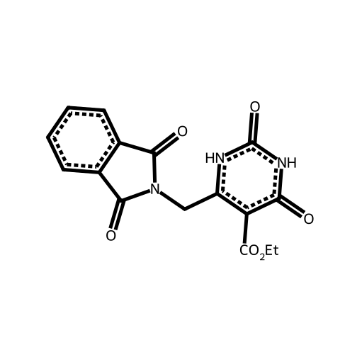 CCOC(=O)c1c(CN2C(=O)c3ccccc3C2=O)[nH]c(=O)[nH]c1=O